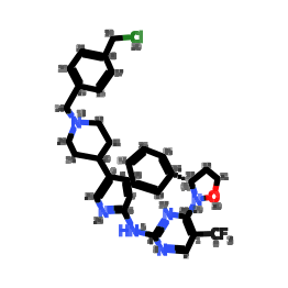 FC(F)(F)c1cnc(Nc2ccc(C3CCN(Cc4ccc(CCl)cc4)CC3)cn2)nc1N1OCC[C@H]1c1ccccc1